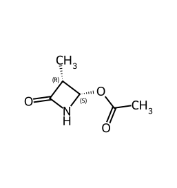 CC(=O)O[C@@H]1NC(=O)[C@@H]1C